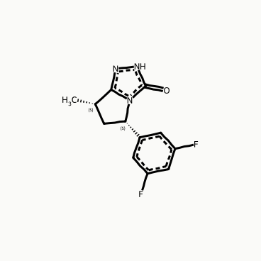 C[C@H]1C[C@@H](c2cc(F)cc(F)c2)n2c1n[nH]c2=O